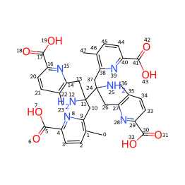 Cc1ccc(C(=O)O)nc1CC(N)(Cc1nc(C(=O)O)ccc1C)C(N)(Cc1nc(C(=O)O)ccc1C)Cc1nc(C(=O)O)ccc1C